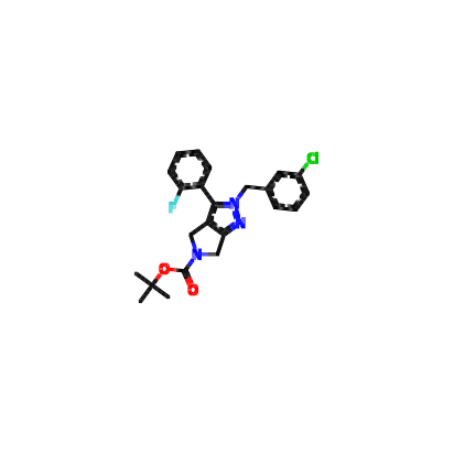 CC(C)(C)OC(=O)N1Cc2nn(Cc3cccc(Cl)c3)c(-c3ccccc3F)c2C1